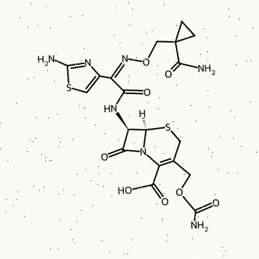 NC(=O)OCC1=C(C(=O)O)N2C(=O)[C@@H](NC(=O)/C(=N\OCC3(C(N)=O)CC3)c3csc(N)n3)[C@H]2SC1